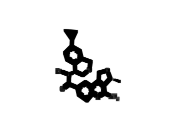 CCN(C(=O)c1ccc2nc(N)c3c(c2c1)CO[C@@H]3C)[C@@H]1COCc2cc(C3CC3)ccc21